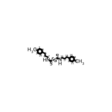 Cc1ccc(CCCNC(=S)SSC(=S)NCCCc2ccc(C)cc2)cc1